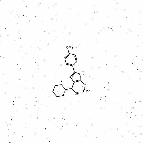 COCc1oc(-c2ccc(OC)nc2)cc1C(O)C1CCCCC1